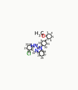 COc1ccccc1-c1ccc(-n2c(=N)n(Cc3ccccc3Cl)c3ccccc32)cc1